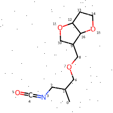 CC(CN=C=O)COCC1COC2CCOC12